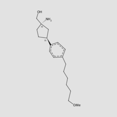 COCCCCCCc1ccc([C@H]2CC[C@@](N)(CO)C2)cc1